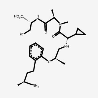 CC(C)C[C@@H](NC(=O)[C@@H](C)N(C)C(=O)[C@@H](NC[C@@H](C)Oc1ccccc1CC[C@H](C)N)C1CC1)C(=O)O